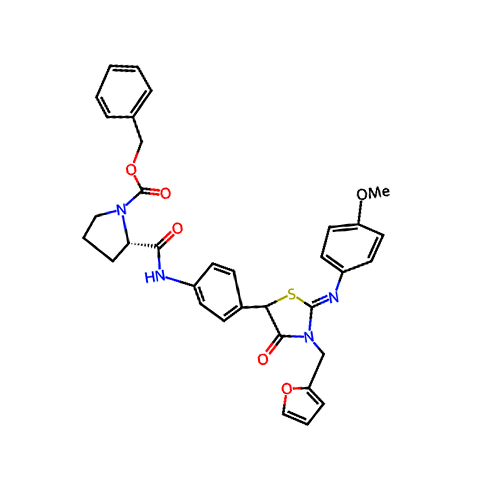 COc1ccc(/N=C2\SC(c3ccc(NC(=O)[C@@H]4CCCN4C(=O)OCc4ccccc4)cc3)C(=O)N2Cc2ccco2)cc1